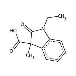 CCN1C(=O)C(C)(C(=O)O)c2ccccc21